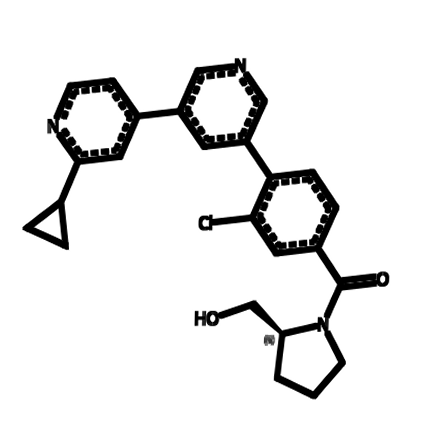 O=C(c1ccc(-c2cncc(-c3ccnc(C4CC4)c3)c2)c(Cl)c1)N1CCC[C@H]1CO